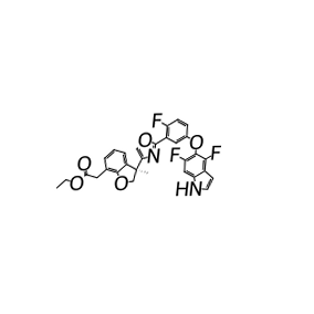 CCOC(=O)Cc1cccc2c1OC[C@]2(C)c1coc(-c2cc(Oc3c(F)cc4[nH]ccc4c3F)ccc2F)n1